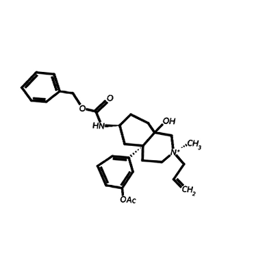 C=CC[N@@+]1(C)CC[C@@]2(c3cccc(OC(C)=O)c3)C[C@@H](NC(=O)OCc3ccccc3)CCC2(O)C1